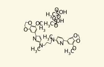 COc1cc(-c2ccc(N(C)CCCN(C)c3ccc(-c4cc(OC)c5c(c4)OCCO5)nc3)cn2)cc2c1OCCO2.CS(=O)(=O)O.CS(=O)(=O)O